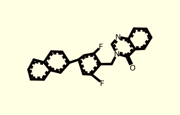 O=c1c2ccccc2ncn1Cc1c(F)cc(-c2ccc3ccccc3c2)cc1F